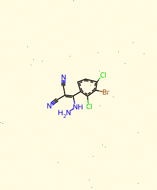 N#CC(C#N)=C(NN)c1ccc(Cl)c(Br)c1Cl